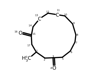 CC1CC(=O)CCCCCCCCCCC(=O)C1